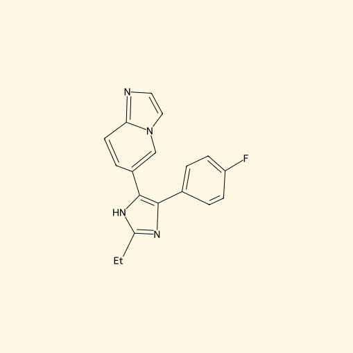 CCc1nc(-c2ccc(F)cc2)c(-c2ccc3nccn3c2)[nH]1